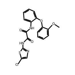 COc1ccccc1Oc1ccccc1NC(=O)C(=O)Nc1ncc(Cl)s1